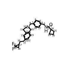 O=C(NCc1ccc(CN2CCc3cc(CCC4CC4(F)F)ccc3C2)cc1)C1CCC1